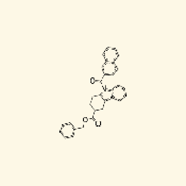 O=C(OCc1ccccc1)C1CCc2c(c3ccccc3n2C(=O)c2ccc3ccccc3c2)C1